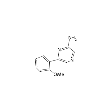 COc1ccccc1-c1cncc(N)n1